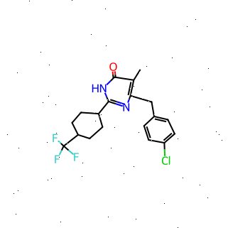 Cc1c(Cc2ccc(Cl)cc2)nc(C2CCC(C(F)(F)F)CC2)[nH]c1=O